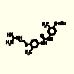 CCCCSc1ccc(NC(=O)Nc2ccc(SCCNC(=N)N)c(C(F)(F)F)c2)cc1C(F)(F)F